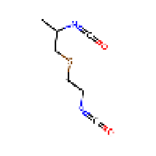 CC(CSCCN=C=O)N=C=O